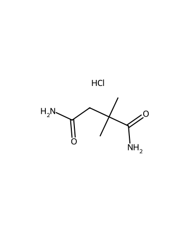 CC(C)(CC(N)=O)C(N)=O.Cl